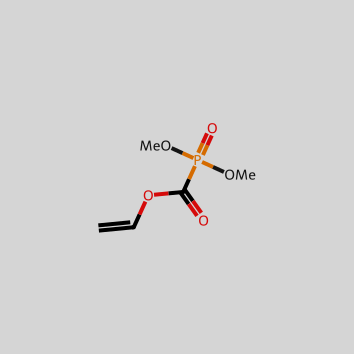 C=COC(=O)P(=O)(OC)OC